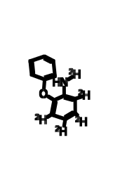 [2H]Nc1c([2H])c([2H])c([2H])c([2H])c1Oc1ccccc1